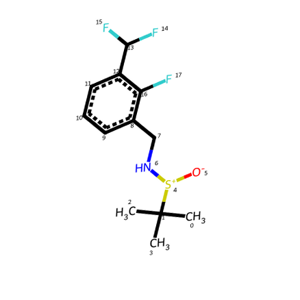 CC(C)(C)[S+]([O-])NCc1cccc(C(F)F)c1F